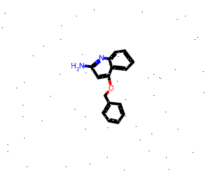 Nc1cc(OCc2ccccc2)c2ccccc2n1